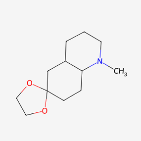 CN1CCCC2CC3(CCC21)OCCO3